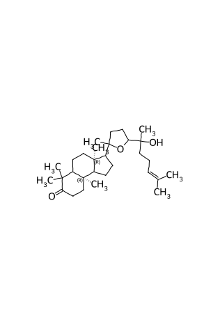 CC(C)=CCCC(C)(O)C1CCC(C)(C2CCC3[C@@]2(C)CCC2C(C)(C)C(=O)CC[C@@]23C)O1